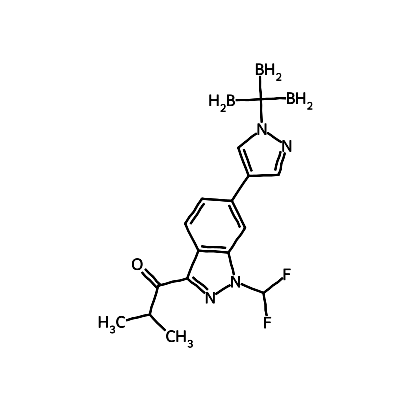 BC(B)(B)n1cc(-c2ccc3c(C(=O)C(C)C)nn(C(F)F)c3c2)cn1